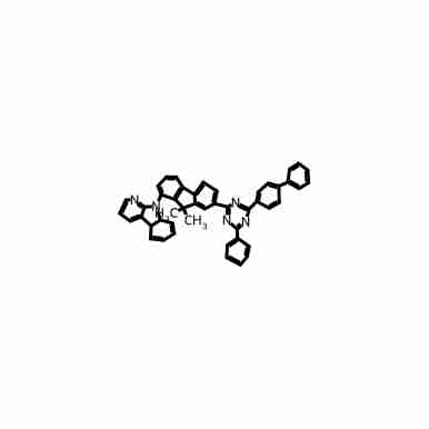 CC1(C)c2cc(-c3nc(-c4ccccc4)nc(-c4ccc(-c5ccccc5)cc4)n3)ccc2-c2cccc(N3c4ncccc4C4C=CC=CC43)c21